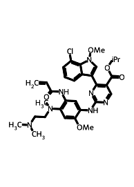 C=CC(=O)Nc1cc(Nc2ncc(C(=O)OC(C)C)c(-c3cn(OC)c4c(Cl)cccc34)n2)c(OC)cc1N(C)CCN(C)C